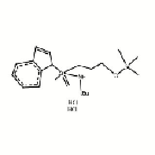 Cl.Cl.[CH2]=[Zr]([CH3])([CH2]CCO[Si](C)(C)C)([NH]C(C)(C)C)[CH]1C=Cc2ccccc21